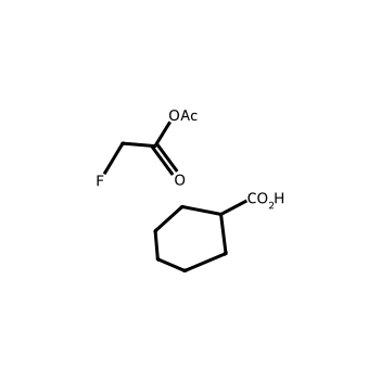 CC(=O)OC(=O)CF.O=C(O)C1CCCCC1